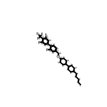 CCCCCC1CCC(C2CCC(OCc3ccc(-c4cc(F)c(C(F)(F)F)c(F)c4)c(F)c3)CC2)CC1